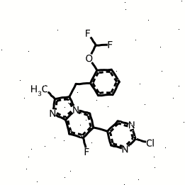 Cc1nc2cc(F)c(-c3cnc(Cl)nc3)cn2c1Cc1ccccc1OC(F)F